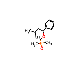 CC(C)CC(OCP(C)(C)=O)c1ccccc1